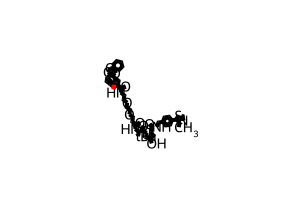 Cc1ncsc1-c1ccc(CNC(=O)C2CC(O)CN2C(=O)C(NC(=O)CCOCCOCCNC(=O)C23CC4CC(C2)C2(OOC5(CCCCC5)O2)C(C4)C3)C(C)(C)C)cc1